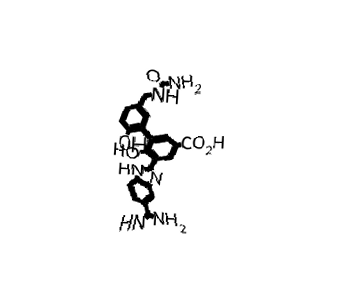 N=C(N)c1ccc2[nH]c(-c3cc(C(=O)O)cc(-c4cc(CNC(N)=O)ccc4O)c3O)nc2c1